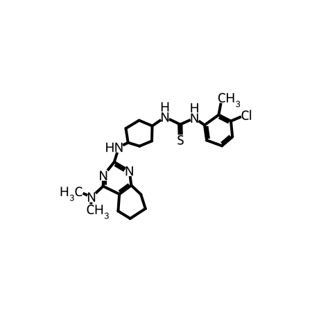 Cc1c(Cl)cccc1NC(=S)NC1CCC(Nc2nc3c(c(N(C)C)n2)CCCC3)CC1